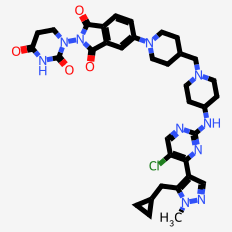 Cn1ncc(-c2nc(NC3CCN(CC4CCN(c5ccc6c(c5)C(=O)N(N5CCC(=O)NC5=O)C6=O)CC4)CC3)ncc2Cl)c1CC1CC1